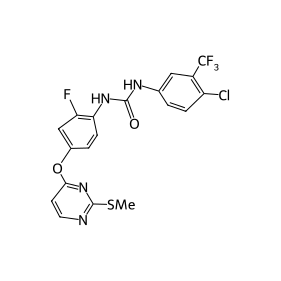 CSc1nccc(Oc2ccc(NC(=O)Nc3ccc(Cl)c(C(F)(F)F)c3)c(F)c2)n1